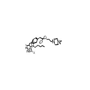 CCCCCNc1nc(N)nc(C)c1Cc1ccc(CC(=O)OCCCN2CCN(C)CC2)cc1